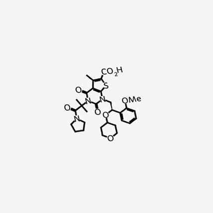 COc1ccccc1[C@H](Cn1c(=O)n(C(C)(C)C(=O)N2CCCC2)c(=O)c2c(C)c(C(=O)O)sc21)OC1CCOCC1